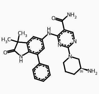 CC1(C)C(=O)Nc2c(-c3ccccc3)cc(Nc3nc(N4CCC[C@H](N)C4)ncc3C(N)=O)cc21